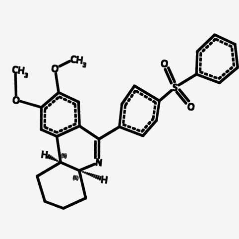 COc1cc2c(cc1OC)[C@@H]1CCCC[C@@H]1N=C2c1ccc(S(=O)(=O)c2ccccc2)cc1